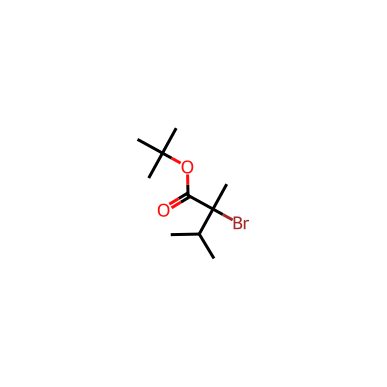 CC(C)C(C)(Br)C(=O)OC(C)(C)C